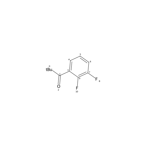 CC(C)(C)C(=O)c1cccc(F)c1F